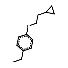 CCc1ccc(OCCC2CC2)cc1